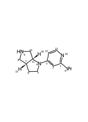 CC(C)c1cc(N2CC[C@@H]3CNC[C@@H]32)ccn1